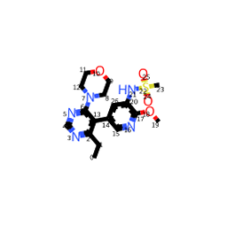 CCc1ncnc(N2CCOCC2)c1-c1cnc(OC)c(NS(C)(=O)=O)c1